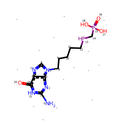 Nc1nc2c(ncn2CCCCCPCP(=O)(O)O)c(=O)[nH]1